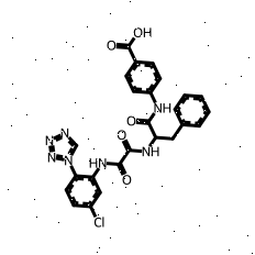 O=C(Nc1cc(Cl)ccc1-n1cnnn1)C(=O)NC(Cc1ccccc1)C(=O)Nc1ccc(C(=O)O)cc1